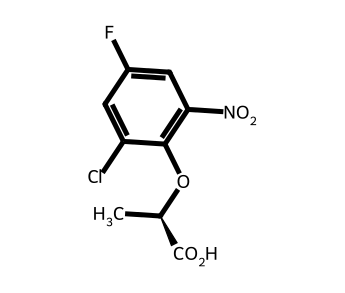 C[C@@H](Oc1c(Cl)cc(F)cc1[N+](=O)[O-])C(=O)O